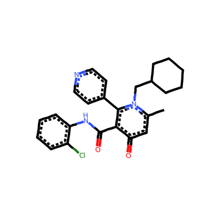 Cc1cc(=O)c(C(=O)Nc2ccccc2Cl)c(-c2ccncc2)n1CC1CCCCC1